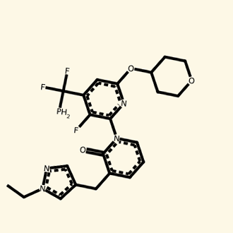 CCn1cc(Cc2cccn(-c3nc(OC4CCOCC4)cc(C(F)(F)P)c3F)c2=O)cn1